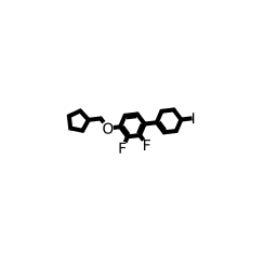 Fc1c(OCC2CCCC2)ccc(C2=CCC(I)CC2)c1F